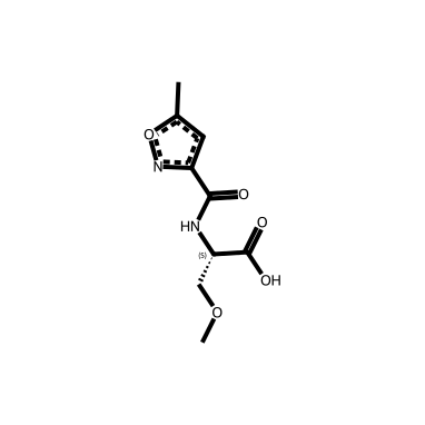 COC[C@H](NC(=O)c1cc(C)on1)C(=O)O